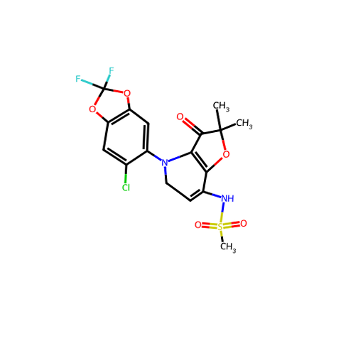 CC1(C)OC2=C(C1=O)N(c1cc3c(cc1Cl)OC(F)(F)O3)CC=C2NS(C)(=O)=O